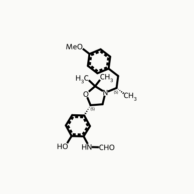 COc1ccc(C[C@H](C)N2C[C@H](c3ccc(O)c(NC=O)c3)OC2(C)C)cc1